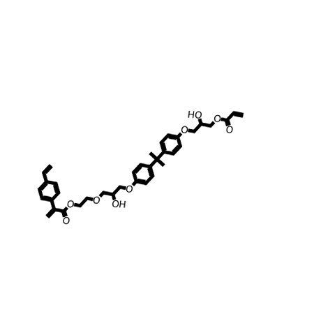 C=CC(=O)OCC(O)COc1ccc(C(C)(C)c2ccc(OCC(O)COCCOC(=O)C(=C)c3ccc(C=C)cc3)cc2)cc1